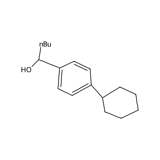 CCCCC(O)c1ccc(C2CCCCC2)cc1